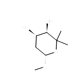 CO[C@@H]1C[C@@H](O)[C@@H](O)C(C)(C)O1